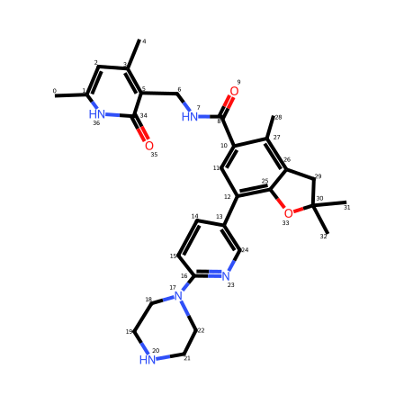 Cc1cc(C)c(CNC(=O)c2cc(-c3ccc(N4CCNCC4)nc3)c3c(c2C)CC(C)(C)O3)c(=O)[nH]1